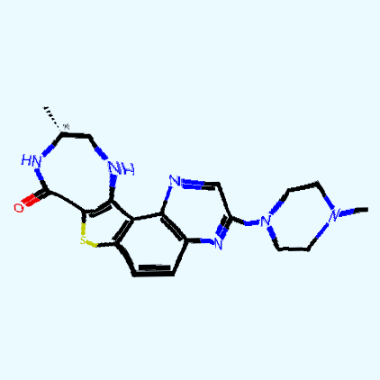 C[C@@H]1CNc2c(sc3ccc4nc(N5CCN(C)CC5)cnc4c23)C(=O)N1